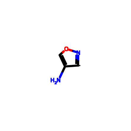 Nc1[c]noc1